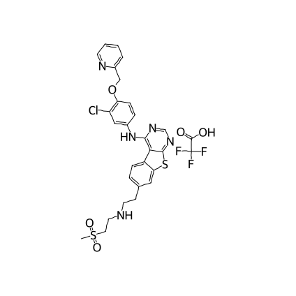 CS(=O)(=O)CCNCCc1ccc2c(c1)sc1ncnc(Nc3ccc(OCc4ccccn4)c(Cl)c3)c12.O=C(O)C(F)(F)F